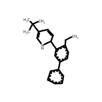 CCc1ccc(-c2ccccc2)cc1C1C=CC(C(C)(C)C)=CN1